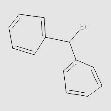 CCC(c1cc[c]cc1)c1ccccc1